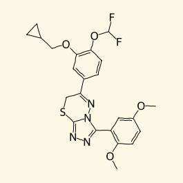 COc1ccc(OC)c(-c2nnc3n2N=C(c2ccc(OC(F)F)c(OCC4CC4)c2)CS3)c1